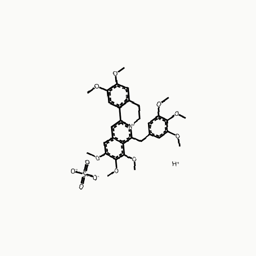 COc1cc2c(cc1OC)-c1cc3cc(OC)c(OC)c(OC)c3c(Cc3cc(OC)c(OC)c(OC)c3)[n+]1CC2.O=S(=O)([O-])[O-].[H+]